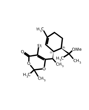 CCC1=C(C(C)[C@@H]2C=C(C)CC[C@H]2C(C)(C)OC)OC(C)(C)OC1=O